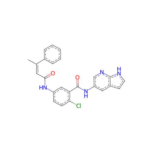 CC(=CC(=O)Nc1ccc(Cl)c(C(=O)Nc2cnc3[nH]ccc3c2)c1)c1ccccc1